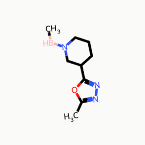 CBN1CCCC(c2nnc(C)o2)C1